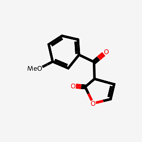 COc1cccc(C(=O)C2C=COC2=O)c1